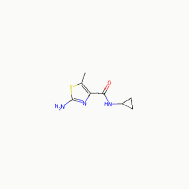 Cc1sc(N)nc1C(=O)NC1CC1